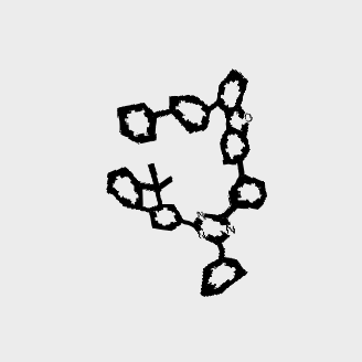 CC1(C)c2ccccc2-c2ccc(-c3nc(-c4ccccc4)nc(-c4cccc(-c5ccc6c(c5)oc5cccc(-c7ccc(-c8ccccc8)cc7)c56)c4)n3)cc21